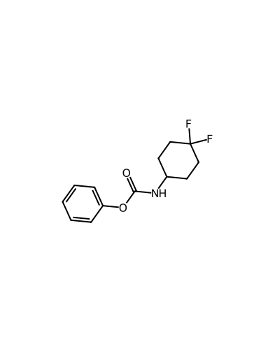 O=C(NC1CCC(F)(F)CC1)Oc1ccccc1